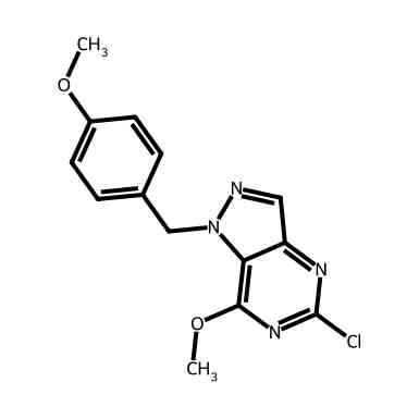 COc1ccc(Cn2ncc3nc(Cl)nc(OC)c32)cc1